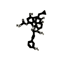 CC(=O)Oc1cc(O)c2c3c1O[C@H]1[C@H](N(C)C(=O)C#Cc4cccc(C)c4)CC[C@H]4[C@@H](C2)N(CC2CC2)CC[C@@]341